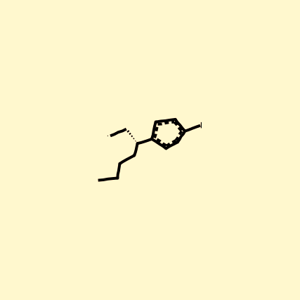 [CH2]C[C@@H](CCCC)c1ccc(I)cc1